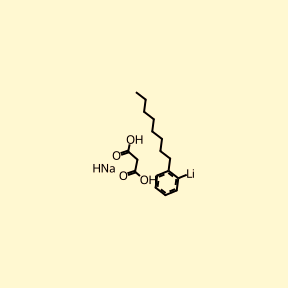 O=C(O)CC(=O)O.[Li][c]1ccccc1CCCCCCCC.[NaH]